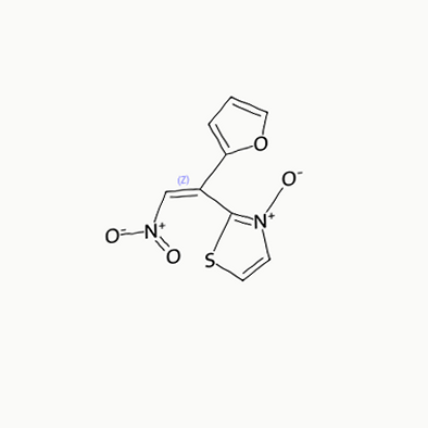 O=[N+]([O-])/C=C(/c1ccco1)c1scc[n+]1[O-]